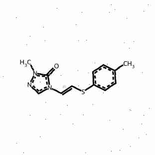 Cc1ccc(S/C=C/n2cnn(C)c2=O)cc1